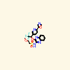 COCCS(=O)(=O)Nc1nc2ccccc2nc1OC(c1ccc(-c2cnco2)nc1)C(F)(F)F